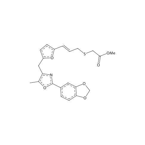 COC(=O)CSCC=Cc1ccc(Cc2nc(-c3ccc4c(c3)OCO4)oc2C)o1